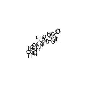 CC[C@H](C)[C@@H](CNC(=O)C(NC(=O)[C@H]1N[C@@H]2CC[C@H]1C2)C(C)C)[C@@H](OC)[C@@H](C=O)N1CC[C@H]([C@@H](OC)[C@](C)(C=O)N[C@H](C)[C@@H](O)c2ccccc2)C1